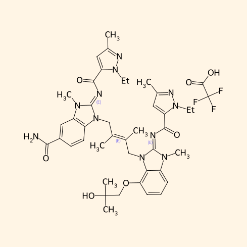 CCn1nc(C)cc1C(=O)/N=c1\n(C)c2cc(C(N)=O)ccc2n1C/C(C)=C(\C)Cn1/c(=N/C(=O)c2cc(C)nn2CC)n(C)c2cccc(OCC(C)(C)O)c21.O=C(O)C(F)(F)F